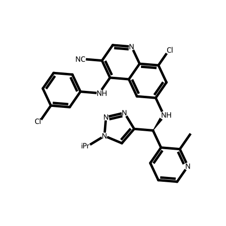 Cc1ncccc1[C@H](Nc1cc(Cl)c2ncc(C#N)c(Nc3cccc(Cl)c3)c2c1)c1cn(C(C)C)nn1